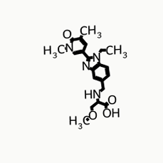 CCn1c(-c2cc(C)c(=O)n(C)c2)nc2cc(CNC(COC)C(=O)O)ccc21